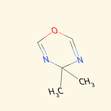 CC1(C)N=COC=N1